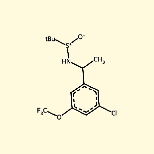 CC(N[S+]([O-])C(C)(C)C)c1cc(Cl)cc(OC(F)(F)F)c1